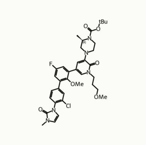 COCCCn1cc(-c2cc(F)cc(-c3ccc(-n4ccn(C)c4=O)c(Cl)c3)c2OC)cc(N2CCN(C(=O)OC(C)(C)C)[C@H](C)C2)c1=O